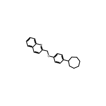 c1ccc2nc(COc3ccc([C]4CCCCCC4)cc3)ccc2c1